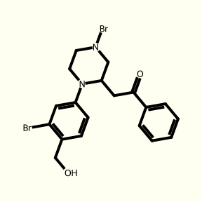 O=C(CC1CN(Br)CCN1c1ccc(CO)c(Br)c1)c1ccccc1